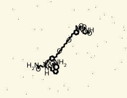 C[C@@H](OCc1ccc(CCCOCCCCCCOCCCc2ccc3c(c2)n(C)c(=O)n3C2CCC(=O)NC2=O)cc1)[C@H](CCC(N)=O)NCC1Cc2cccc3c2N1C(=O)[C@@H](N)CC3